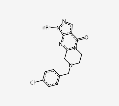 CCCn1ncc2c(=O)n3c(nc21)CN(Cc1ccc(Cl)cc1)CC3